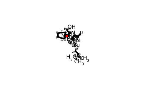 CC(C)(C)OC(=O)NC1CC2CCC(C1)N2c1nc2c(nc1CO)c(I)nn2COCC[Si](C)(C)C